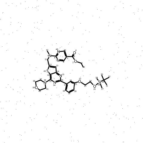 CCOC(=O)c1cnc(N(C)Cc2cc3nc(-c4cccc(OCCO[Si](C)(C)C(C)(C)C)c4)nc(N4CCOCC4)c3s2)nc1